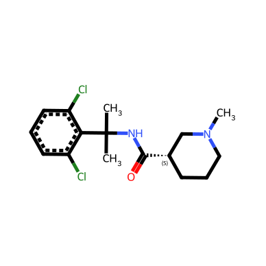 CN1CCC[C@H](C(=O)NC(C)(C)c2c(Cl)cccc2Cl)C1